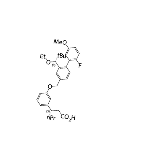 CCC[C@@H](CC(=O)O)c1cccc(OCc2ccc(-c3cc(OC)ccc3F)c([C@H](OCC)C(C)(C)C)c2)c1